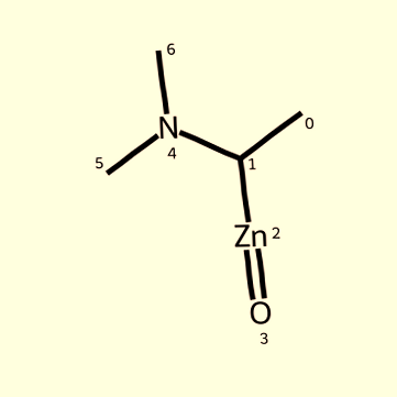 C[CH]([Zn]=[O])N(C)C